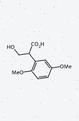 COc1ccc(OC)c(C(CO)C(=O)O)c1